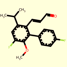 COc1c(F)cc(C(C)C)c(/C=C/C=O)c1-c1ccc(F)cc1